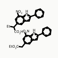 CCC(C(=O)O)c1cc([N+](=O)[O-])c2[nH]c(-c3ccccc3)cc2c1.CCOC(=O)Cc1cc([N+](=O)[O-])c2[nH]c(-c3ccccc3)cc2c1